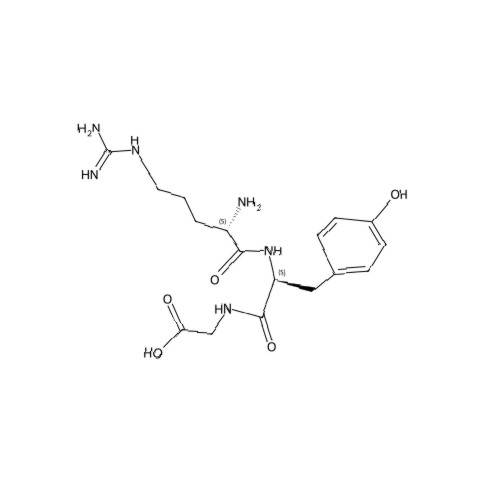 N=C(N)NCCC[C@H](N)C(=O)N[C@@H](Cc1ccc(O)cc1)C(=O)NCC(=O)O